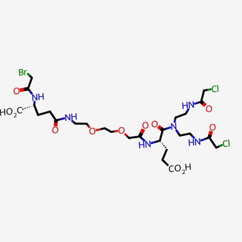 O=C(O)CC[C@H](NC(=O)COCCOCCNC(=O)CC[C@@H](NC(=O)CBr)C(=O)O)C(=O)N(CCNC(=O)CCl)CCNC(=O)CCl